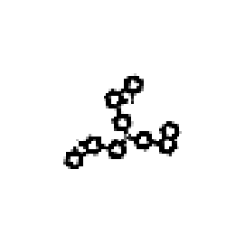 c1cc(-c2ccc3sc4ccccc4c3c2)cc(N(c2ccc(-c3cccc4ccccc34)cc2)c2ccc(-c3cccc4c3oc3ccccc34)cc2)c1